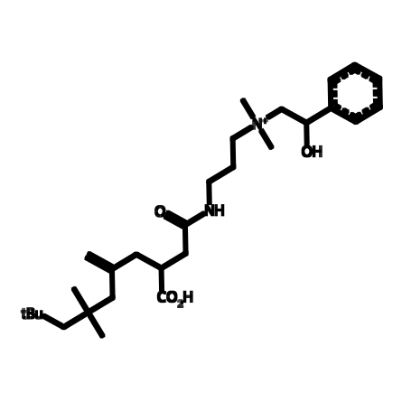 C=C(CC(CC(=O)NCCC[N+](C)(C)CC(O)c1ccccc1)C(=O)O)CC(C)(C)CC(C)(C)C